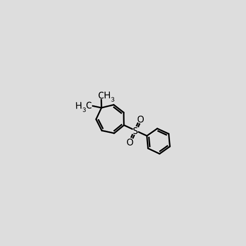 CC1(C)C=CC=C(S(=O)(=O)c2ccccc2)C=C1